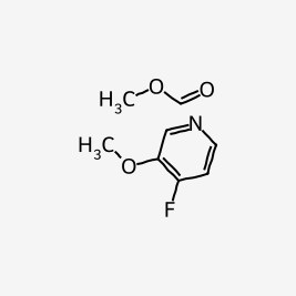 COC=O.COc1cnccc1F